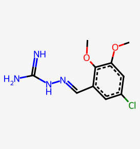 COc1cc(Cl)cc(C=NNC(=N)N)c1OC